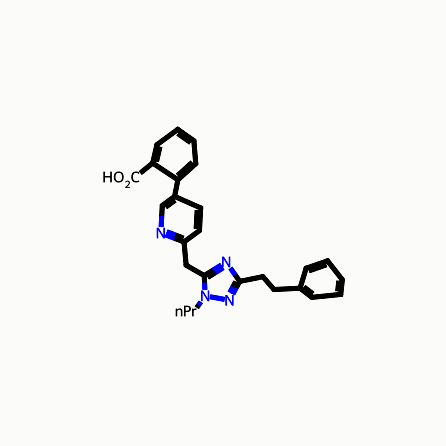 CCCn1nc(CCc2ccccc2)nc1Cc1ccc(-c2ccccc2C(=O)O)cn1